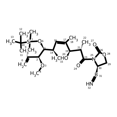 C=C[C@H](OC)[C@@H](O[Si](C)(C)C(C)(C)C)[C@H](C)/C=C(/C)[C@H](O)[C@H](C)C(=O)N1C(=O)OC[C@H]1B=N